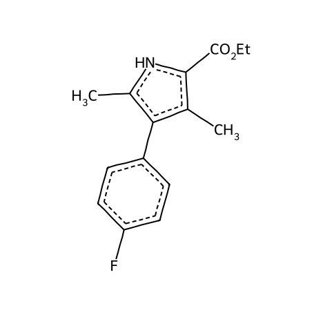 CCOC(=O)c1[nH]c(C)c(-c2ccc(F)cc2)c1C